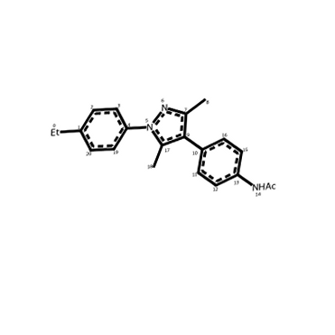 [CH2]Cc1ccc(-n2nc(C)c(-c3ccc(NC(C)=O)cc3)c2C)cc1